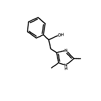 Cc1nc(CC(O)c2ccccc2)c(C)[nH]1